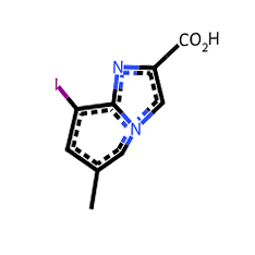 Cc1cc(I)c2nc(C(=O)O)cn2c1